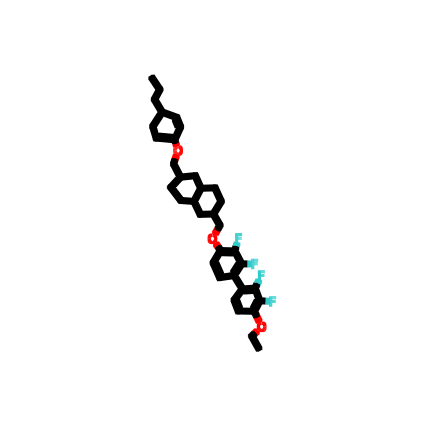 CCCC1C=CC(OCC2CCC3CC(COc4ccc(-c5ccc(OCC)c(F)c5F)c(F)c4F)CCC3C2)=CC1